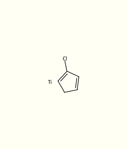 ClC1=CCC=C1.[Ti]